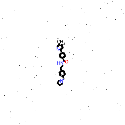 Cc1ccc(-c2ccc(C(=O)NCCc3ccc(CN4CCCC4)cc3)cc2)nc1